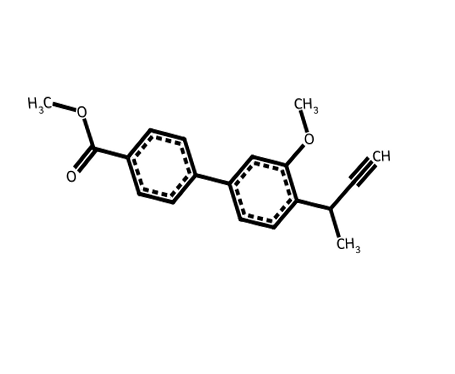 C#CC(C)c1ccc(-c2ccc(C(=O)OC)cc2)cc1OC